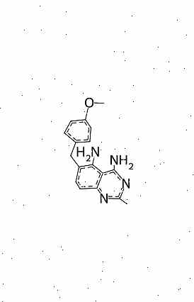 COc1ccc(Cc2ccc3nc(C)nc(N)c3c2N)cc1